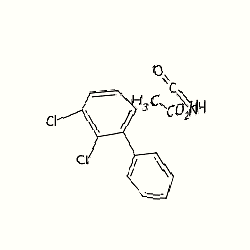 CC(=O)O.Clc1cccc(-c2ccccc2)c1Cl.N=C=O